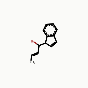 C/C=C/C(Br)C1C=Cc2[c]cccc21